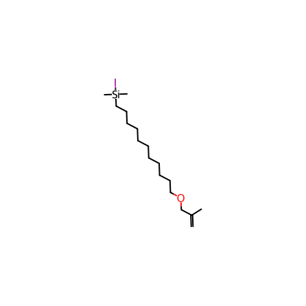 C=C(C)COCCCCCCCCCCC[Si](C)(C)I